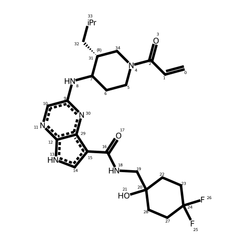 C=CC(=O)N1CCC(Nc2cnc3[nH]cc(C(=O)NCC4(O)CCC(F)(F)CC4)c3n2)[C@H](CC(C)C)C1